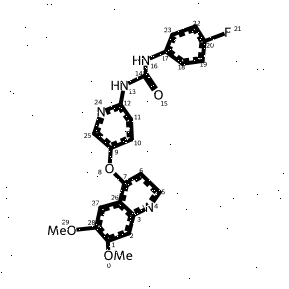 COc1cc2nccc(Oc3ccc(NC(=O)Nc4ccc(F)cc4)nc3)c2cc1OC